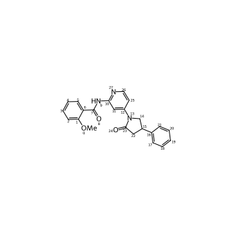 COc1ccccc1C(=O)Nc1cc(N2CC(c3ccccc3)CC2=O)ccn1